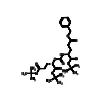 CC(C)(C)OC(=O)CC[C@H](OC(=O)N[C@@H](CCC(=O)OCc1ccccc1)C(=O)OC(C)(C)C)C(=O)OC(C)(C)C